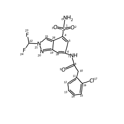 NS(=O)(=O)c1cc(NC(=O)Cc2ccccc2Cl)cc2nn(C(F)F)cc12